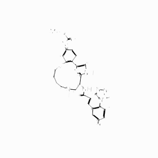 COC(=O)Nc1ccc2c(c1)OCCCCNC[C@H](NC(=O)/C=C/c1cc(Cl)ccc1-n1cnnn1)c1nc-2c[nH]1